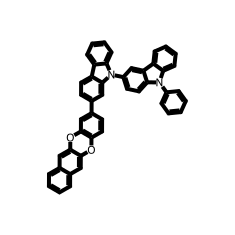 c1ccc(-n2c3ccccc3c3cc(-n4c5ccccc5c5ccc(-c6ccc7c(c6)Oc6cc8ccccc8cc6O7)cc54)ccc32)cc1